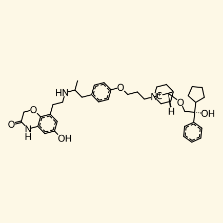 CC(Cc1ccc(OCCC[N+]23CCC(CC2)[C@H](OC[C@](O)(c2ccccc2)C2CCCC2)C3)cc1)NCCc1cc(O)cc2c1OCC(=O)N2